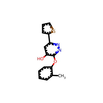 Cc1ccccc1Oc1nnc(-c2cccs2)cc1O